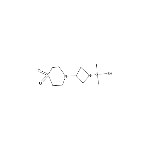 CS(C)(S)N1CC(N2CCS(=O)(=O)CC2)C1